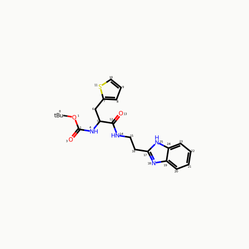 CC(C)(C)OC(=O)NC(Cc1cccs1)C(=O)NCCc1nc2ccccc2[nH]1